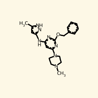 Cc1cc(Nc2cc(N3CCN(C)CC3)nc(OCc3ccccc3)n2)n[nH]1